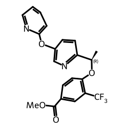 COC(=O)c1ccc(O[C@H](C)c2ccc(Oc3ccccn3)cn2)c(C(F)(F)F)c1